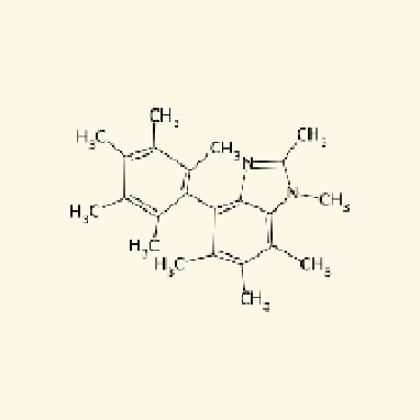 Cc1c(C)c(C)c(-c2c(C)c(C)c(C)c3c2nc(C)n3C)c(C)c1C